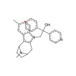 Cc1ccc2c(c1)c1c(n2CC(O)(c2ccccc2)c2ccncc2)CC2CCC1N2C